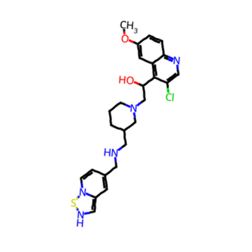 COc1ccc2ncc(Cl)c(C(O)CN3CCCC(CNCC4=CC5=CNSN5C=C4)C3)c2c1